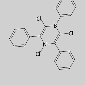 ClC1=C(c2ccccc2)N(Cl)C(c2ccccc2)=C(Cl)B1c1ccccc1